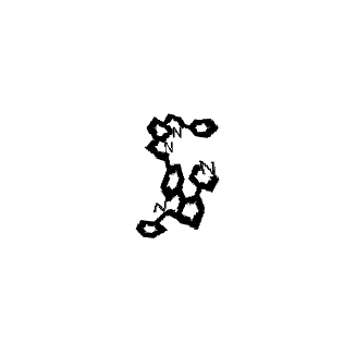 c1ccc(-c2ccc3ccc4ccc(-c5ccc6c(c5)nc(-c5ccccc5)c5cccc(-c7ccncc7)c56)nc4c3n2)cc1